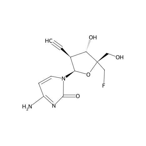 C#C[C@@H]1[C@H](n2ccc(N)nc2=O)O[C@@](CO)(CF)[C@H]1O